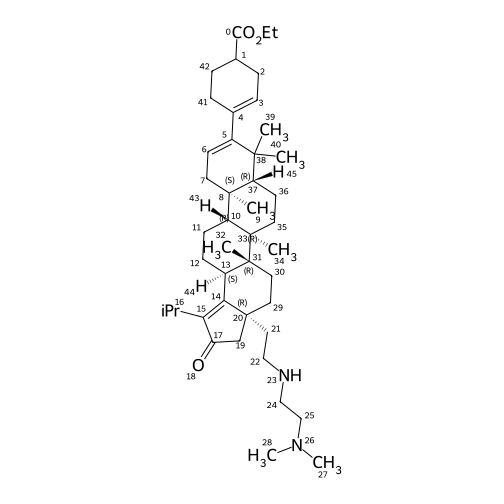 CCOC(=O)C1CC=C(C2=CC[C@]3(C)[C@H]4CC[C@@H]5C6=C(C(C)C)C(=O)C[C@]6(CCNCCN(C)C)CC[C@@]5(C)[C@]4(C)CC[C@H]3C2(C)C)CC1